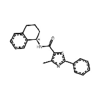 Cc1nc(-c2ccccc2)sc1C(=O)N[C@@H]1CCCc2ccccc21